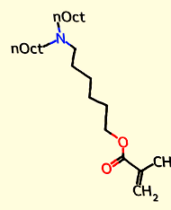 C=C(C)C(=O)OCCCCCCN(CCCCCCCC)CCCCCCCC